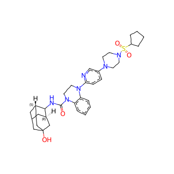 O=C(NC1[C@@H]2CC3C[C@H]1CC(O)(C3)C2)N1CCN(c2ccc(N3CCN(S(=O)(=O)C4CCCC4)CC3)cn2)c2ccccc21